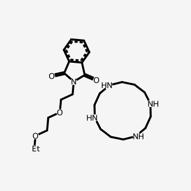 C1CNCCNCCCNCCNC1.CCOCCOCCN1C(=O)c2ccccc2C1=O